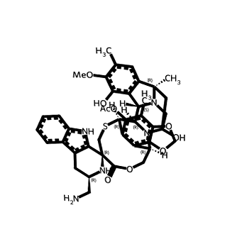 COc1c(C)cc2c(c1O)[C@H]1[C@@H]3[C@@H]4SC[C@]5(N[C@@H](CN)Cc6c5[nH]c5ccccc65)C(=O)OC[C@@H](c5c6c(c(C)c(OC(C)=O)c54)OCO6)N3C3(O)CN1[C@]2(C)C3